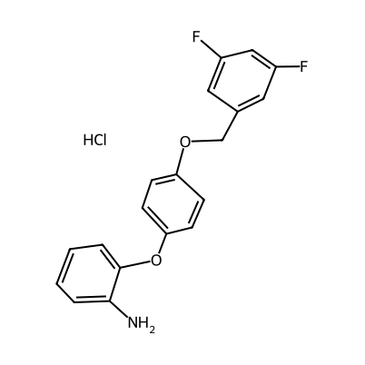 Cl.Nc1ccccc1Oc1ccc(OCc2cc(F)cc(F)c2)cc1